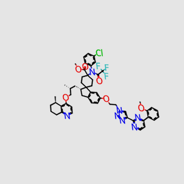 COC(=O)C1(N(C(=O)C(F)(F)F)c2cccc(Cl)c2)CCC2(CC1)c1cc(OCCn3cc(-c4nccc(-c5ccccc5OC)n4)nn3)ccc1C[C@@H]2C[C@@H](C)COc1ccnc2c1[C@H](C)CCC2